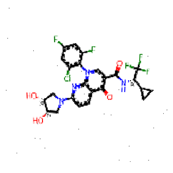 O=C(N[C@@H](C1CC1)C(F)(F)F)c1cn(-c2c(F)cc(F)cc2Cl)c2nc(N3C[C@@H](O)[C@H](O)C3)ccc2c1=O